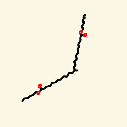 CCCCCCOC(=O)CCCCCCCCCCCC(C)CCCCCCCCCCCC(=O)OCCCCCC